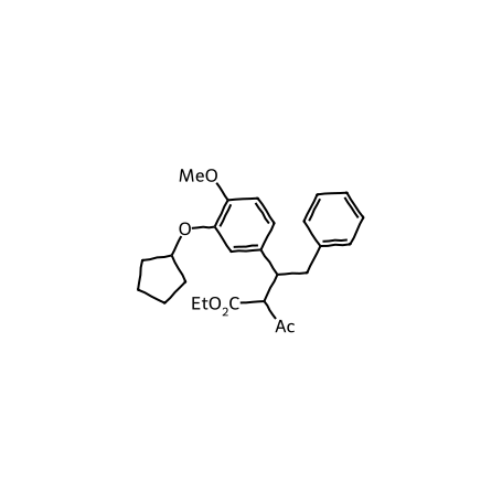 CCOC(=O)C(C(C)=O)C(Cc1ccccc1)c1ccc(OC)c(OC2CCCC2)c1